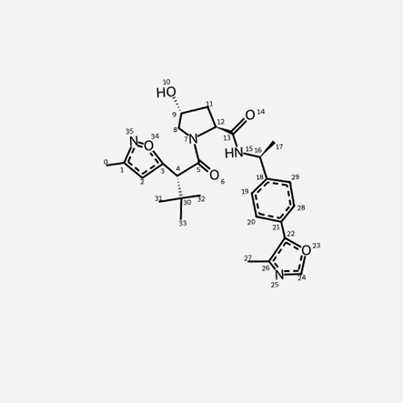 Cc1cc([C@H](C(=O)N2C[C@H](O)C[C@H]2C(=O)N[C@@H](C)c2ccc(-c3ocnc3C)cc2)C(C)(C)C)on1